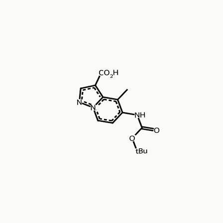 Cc1c(NC(=O)OC(C)(C)C)ccn2ncc(C(=O)O)c12